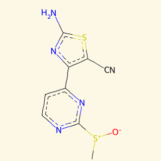 C[S+]([O-])c1nccc(-c2nc(N)sc2C#N)n1